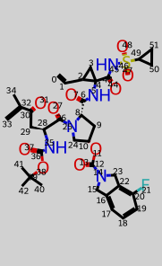 C=CC1CC1(NC(=O)[C@@H]1C[C@@H](OC(=O)N2Cc3cccc(F)c3C2)CN1C(=O)[C@H](CC(=O)C(=C)C)NC(=O)OC(C)(C)C)C(=O)NS(=O)(=O)C1CC1